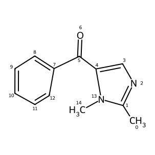 Cc1ncc(C(=O)c2ccccc2)n1C